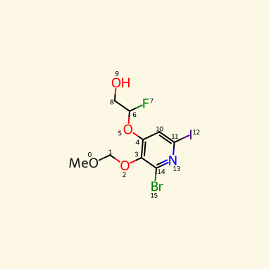 COCOc1c(OC(F)CO)cc(I)nc1Br